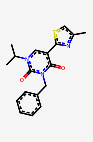 Cc1csc(-c2cn(C(C)C)c(=O)n(Cc3ccccc3)c2=O)n1